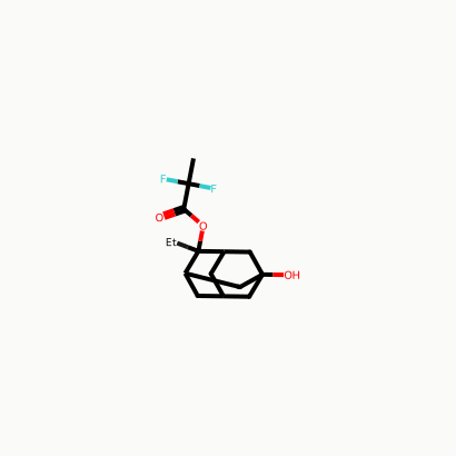 CCC1(OC(=O)C(C)(F)F)C2CC3CC1CC(O)(C3)C2